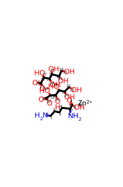 NCCCCC(N)C(=O)O.O=C([O-])C(O)C(O)C(O)C(O)CO.O=C([O-])C(O)C(O)C(O)C(O)CO.[Zn+2]